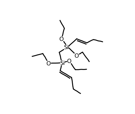 CCC=C[Si](C[Si](C=CCC)(OCC)OCC)(OCC)OCC